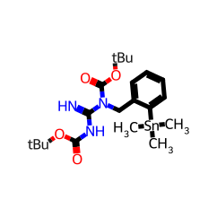 CC(C)(C)OC(=O)NC(=N)N(Cc1cccc[c]1[Sn]([CH3])([CH3])[CH3])C(=O)OC(C)(C)C